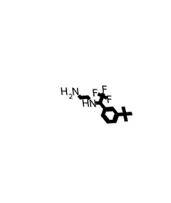 CC(C)(C)c1cccc(C(NCCN)C(F)(F)F)c1